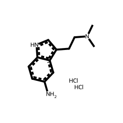 CN(C)CCc1c[nH]c2ccc(N)cc12.Cl.Cl